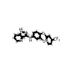 FC(F)(F)c1ccnc(Oc2ccc(Nc3n[nH]c4cccnc34)cc2Cl)c1